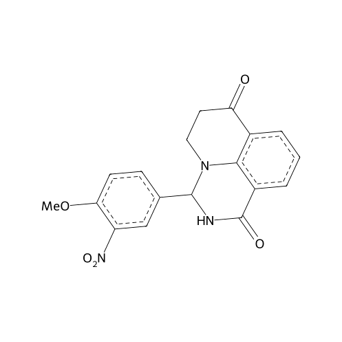 COc1ccc(C2NC(=O)c3cccc4c3N2CCC4=O)cc1[N+](=O)[O-]